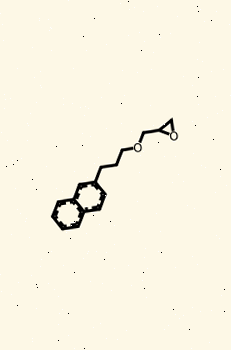 c1ccc2cc(CCCOCC3CO3)ccc2c1